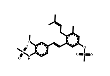 COc1cc(/C=C/c2cc(OS(C)(=O)=O)cc(C)c2CC=C(C)C)ccc1NS(C)(=O)=O